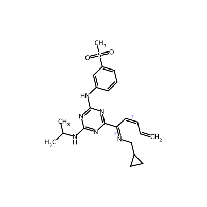 C=C/C=C\C(=N/CC1CC1)c1nc(Nc2cccc(S(C)(=O)=O)c2)nc(NC(C)C)n1